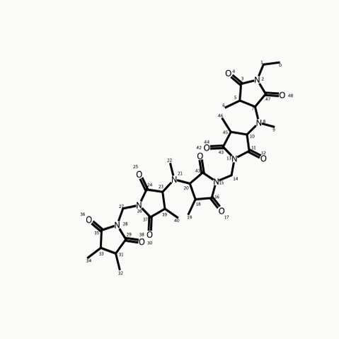 CCN1C(=O)C(C)C(N(C)C2C(=O)N(CN3C(=O)C(C)C(N(C)C4C(=O)N(CN5C(=O)C(C)C(C)C5=O)C(=O)C4C)C3=O)C(=O)C2C)C1=O